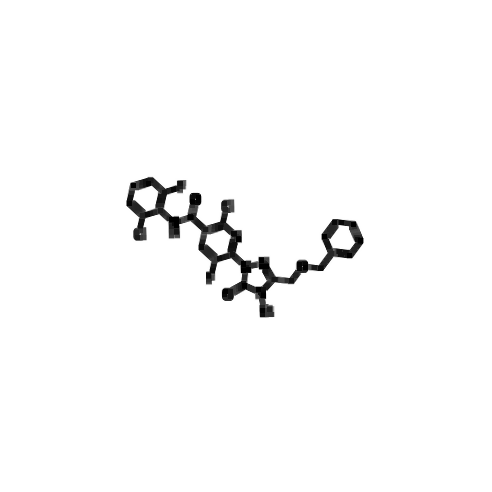 CCn1c(COCc2ccccc2)nn(-c2nc(Cl)c(C(=O)Nc3c(F)cccc3Cl)cc2F)c1=O